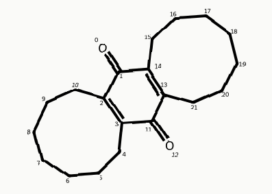 O=C1C2=C(CCCCCCC2)C(=O)C2=C1CCCCCCC2